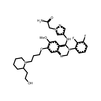 COc1cc2c(cc1OCCCN1CCCCC1CCO)=NCN(c1cccc(F)c1F)C=2Nc1cnn(CC(N)=O)c1